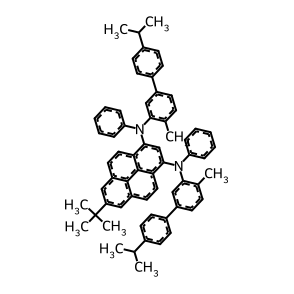 Cc1ccc(-c2ccc(C(C)C)cc2)cc1N(c1ccccc1)c1cc(N(c2ccccc2)c2cc(-c3ccc(C(C)C)cc3)ccc2C)c2ccc3cc(C(C)(C)C)cc4ccc1c2c43